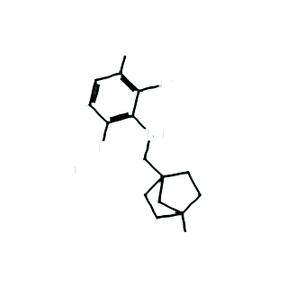 Cl.Fc1ccc(Cl)c(F)c1NCC12CCC(F)(CC1)C2